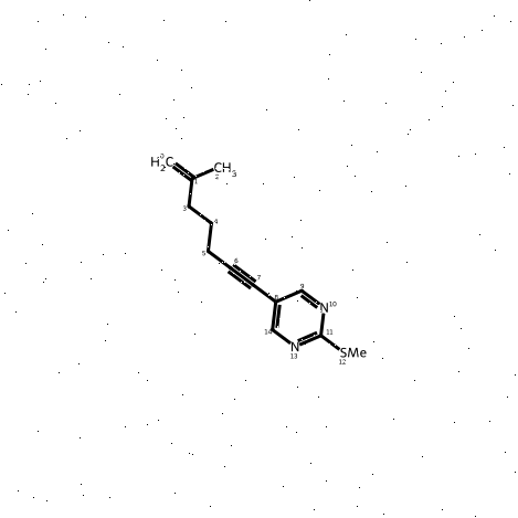 C=C(C)CCCC#Cc1cnc(SC)nc1